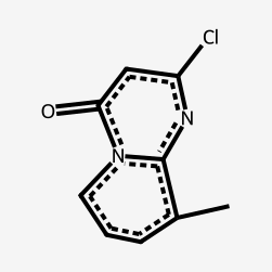 Cc1cccn2c(=O)cc(Cl)nc12